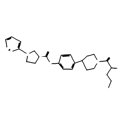 CCCC(C)C(=O)N1CCC(c2ccc(NC(=O)[C@H]3CCN(c4cccnn4)C3)cc2)CC1